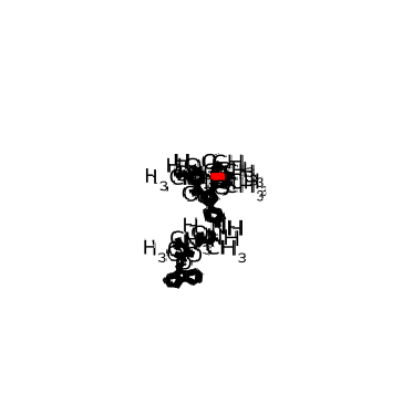 COc1cc2c(cc1O)N(C(=O)OC(C)(C)C)[C@@H](O[Si](C)(C)C(C)(C)C)C1CC(c3ccc(NCN[C@@H](C)C(=O)CN[C@H](C(=O)C(=O)OCC4c5ccccc5-c5ccccc54)C(C)C)cc3)=CN1C2=O